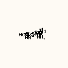 C[C@@H]1C[C@H](O)c2ncnc(N3CCN(C(=O)[C@H](CN)c4ccc(Cl)c(Cl)c4)CC3)c21